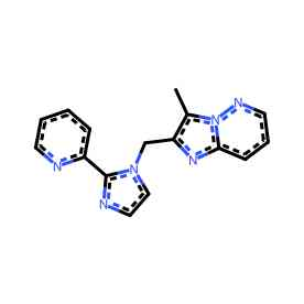 Cc1c(Cn2ccnc2-c2ccccn2)nc2cccnn12